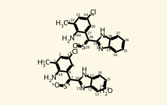 Cc1cc(Cl)cc(C(=S=O)c2nc3ccccc3[nH]2)c1N.Cc1cc(Cl)cc(C(=S=O)c2nc3ccccc3[nH]2)c1N.O